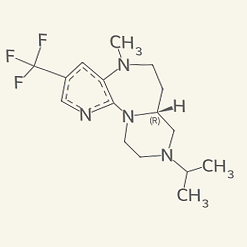 CC(C)N1CCN2c3ncc(C(F)(F)F)cc3N(C)CC[C@@H]2C1